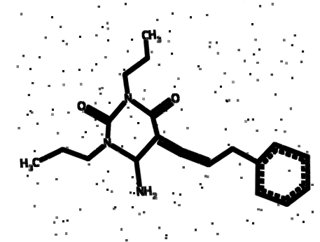 CCCN1C(=O)C(=C=CCc2ccccc2)C(N)N(CCC)C1=O